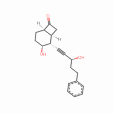 O=C1C[C@H]2[C@H](C#C[C@@H](O)CCc3ccccc3)[C@@H](O)CC[C@@H]12